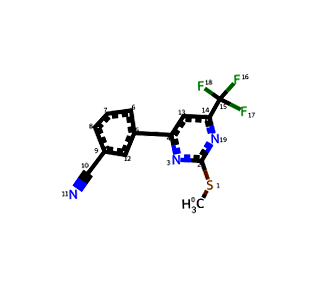 CSc1nc(-c2cccc(C#N)c2)cc(C(F)(F)F)n1